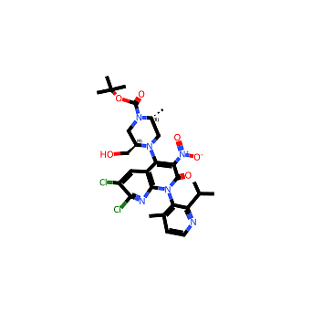 Cc1ccnc(C(C)C)c1-n1c(=O)c([N+](=O)[O-])c(N2C[C@@H](C)N(C(=O)OC(C)(C)C)C[C@@H]2CO)c2cc(Cl)c(Cl)nc21